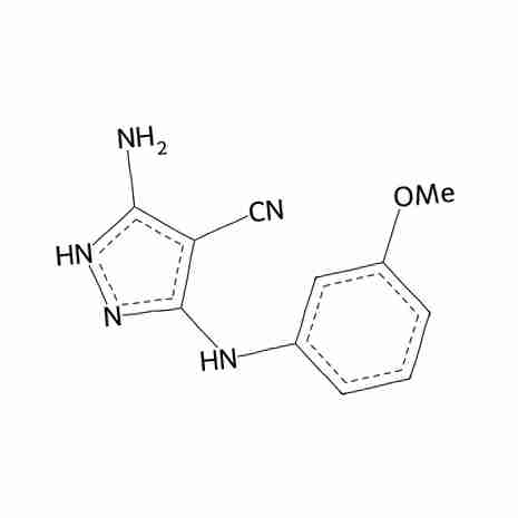 COc1cccc(Nc2n[nH]c(N)c2C#N)c1